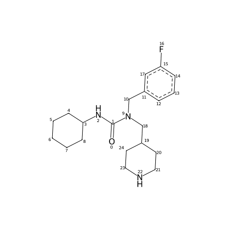 O=C(NC1CCCCC1)N(Cc1cccc(F)c1)CC1CCNCC1